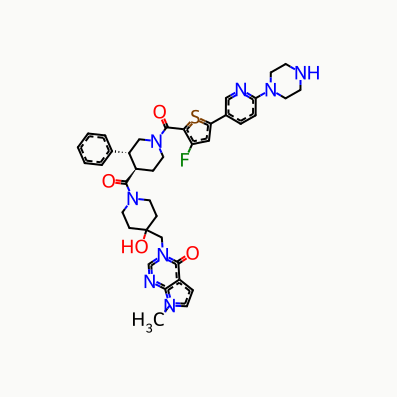 Cn1ccc2c(=O)n(CC3(O)CCN(C(=O)[C@@H]4CCN(C(=O)c5sc(-c6ccc(N7CCNCC7)nc6)cc5F)C[C@H]4c4ccccc4)CC3)cnc21